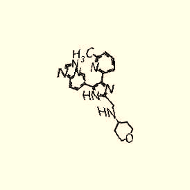 Cc1cccc(-c2nc(CNC3CCOCC3)[nH]c2-c2ccc3ncnn3c2)n1